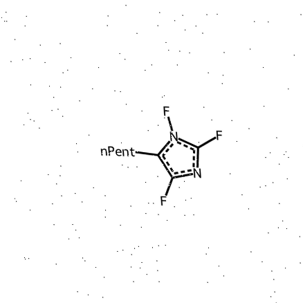 CCCCCc1c(F)nc(F)n1F